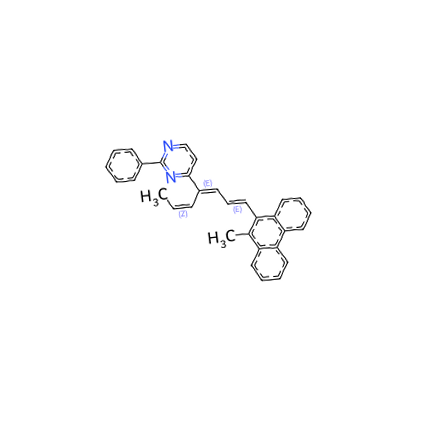 C\C=C/C(=C\C=C\c1c(C)c2ccccc2c2ccccc12)c1ccnc(-c2ccccc2)n1